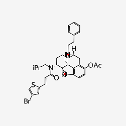 CC(=O)Oc1ccc2c3c1C[C@@H]1[C@@H]4CC[C@@H](N(CC(C)C)C(=O)/C=C/c5cc(Br)cs5)[C@H](O2)[C@]34CCN1CCc1ccccc1